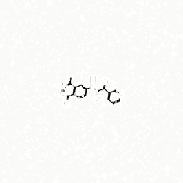 Cc1noc(=O)c2ccc(NC(=O)C(=O)c3cccnc3)cc12